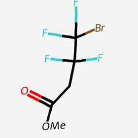 COC(=O)CC(F)(F)C(F)(F)Br